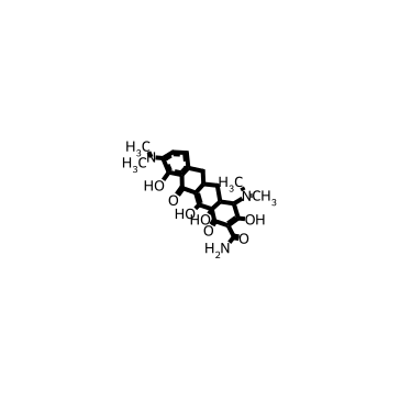 CN(C)c1ccc2c(c1O)C(=O)C1=C(O)C3(O)C(=O)C(C(N)=O)=C(O)C(N(C)C)C3CC1C2